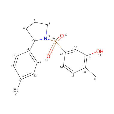 CCc1ccc(C2CCCN2S(=O)(=O)c2ccc(C)c(O)c2)cc1